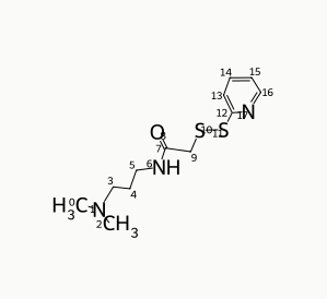 CN(C)CCCNC(=O)CSSc1ccccn1